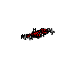 Cc1cc2cc(CN3CCN(C4CC5(CCN(c6ccc(C(=O)NS(=O)(=O)c7ccc(NC[C@H]8CC[C@](C)(O)CC8)c([N+](=O)[O-])c7)c(N7c8cc9cc[nH]c9nc8O[C@H]8COCC[C@@H]87)c6)CC5)C4)[C@@H](c4ccccc4OC(C)C)C3)nc(N3CCOC[C@H]3C)c2o1